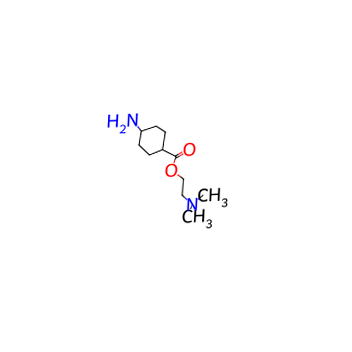 CN(C)CCOC(=O)C1CCC(N)CC1